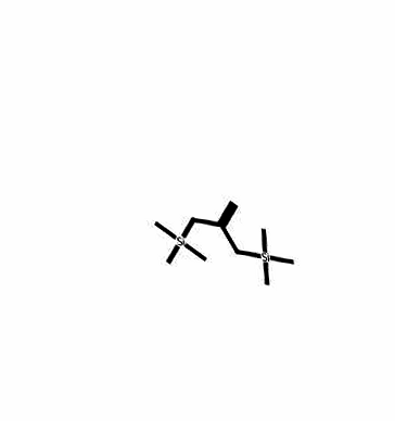 C=C(C[Si](C)(C)C)C[Si](C)(C)C